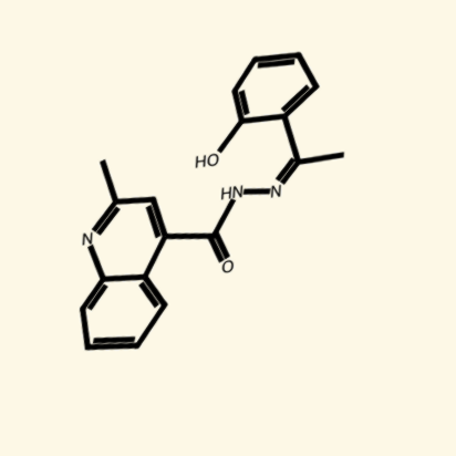 CC(=NNC(=O)c1cc(C)nc2ccccc12)c1ccccc1O